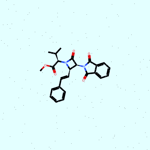 COC(=O)[C@@H](C(C)C)N1C(=O)[C@@H](N2C(=O)c3ccccc3C2=O)[C@H]1C=Cc1ccccc1